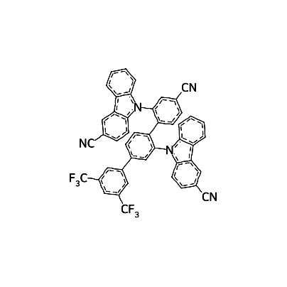 N#Cc1ccc(-c2ccc(-c3cc(C(F)(F)F)cc(C(F)(F)F)c3)cc2-n2c3ccccc3c3cc(C#N)ccc32)c(-n2c3ccccc3c3cc(C#N)ccc32)c1